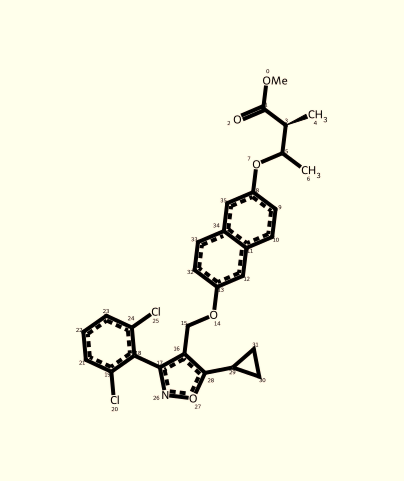 COC(=O)[C@@H](C)C(C)Oc1ccc2cc(OCc3c(-c4c(Cl)cccc4Cl)noc3C3CC3)ccc2c1